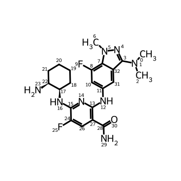 CN(C)c1nn(C)c2c(F)cc(Nc3nc(N[C@@H]4CCCC[C@@H]4N)c(F)cc3C(N)=O)cc12